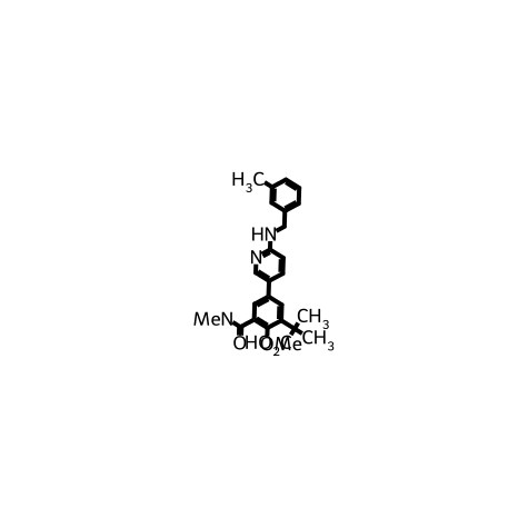 CNC(=O)c1cc(-c2ccc(NCc3cccc(C)c3)nc2)cc(C(C)(C)C(=O)O)c1OC